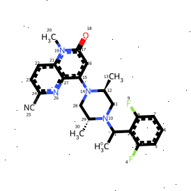 CC(c1c(F)cccc1F)N1C[C@H](C)N(c2cc(=O)n(C)c3ccc(C#N)nc23)C[C@H]1C